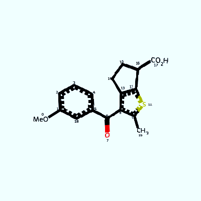 COc1cccc(C(=O)c2c(C)sc3c2CCC3C(=O)O)c1